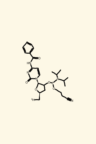 [2H]C[C@@H]1CC(OP(OCCC#N)N(C(C)C)C(C)C)[C@H](n2ccc(NC(=O)c3ccccc3)nc2=O)O1